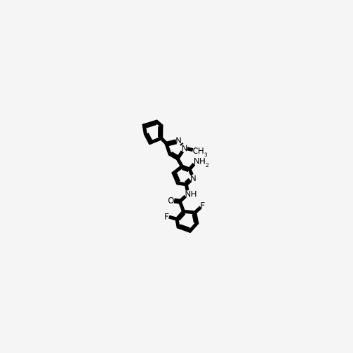 Cn1nc(-c2ccccc2)cc1-c1ccc(NC(=O)c2c(F)cccc2F)nc1N